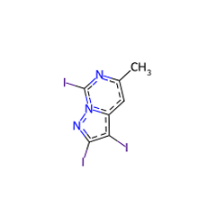 Cc1cc2c(I)c(I)nn2c(I)n1